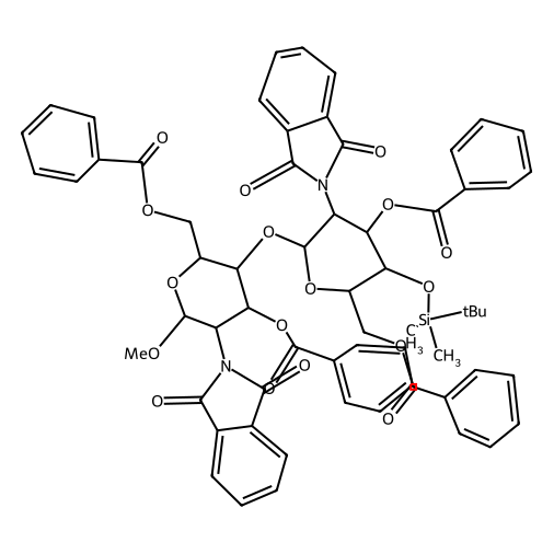 COC1OC(COC(=O)c2ccccc2)C(OC2OC(COC(=O)c3ccccc3)C(O[Si](C)(C)C(C)(C)C)C(OC(=O)c3ccccc3)C2N2C(=O)c3ccccc3C2=O)C(OC(=O)c2ccccc2)C1N1C(=O)c2ccccc2C1=O